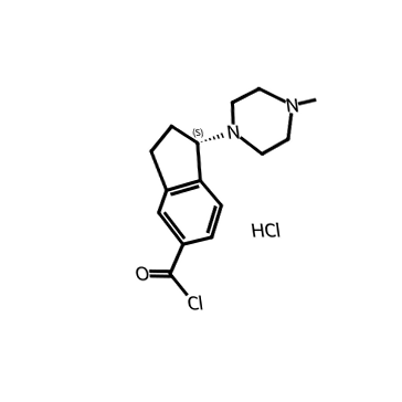 CN1CCN([C@H]2CCc3cc(C(=O)Cl)ccc32)CC1.Cl